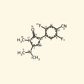 CN(C)c1nn(-c2cc(F)c(C#N)cc2F)c(=O)n1C